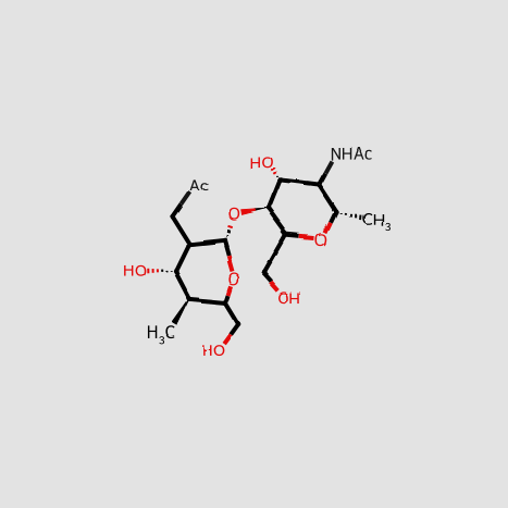 CC(=O)CC1[C@H](O[C@@H]2C(CO)O[C@@H](C)C(NC(C)=O)[C@H]2O)OC(CO)[C@@H](C)[C@@H]1O